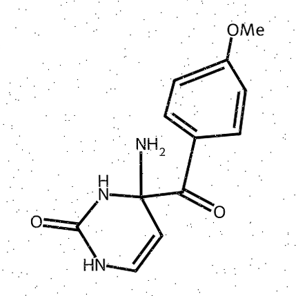 COc1ccc(C(=O)C2(N)C=CNC(=O)N2)cc1